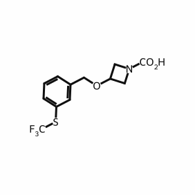 O=C(O)N1CC(OCc2cccc(SC(F)(F)F)c2)C1